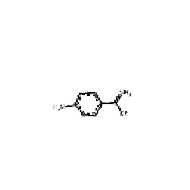 C=C(CC)c1ccc(N)cc1